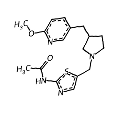 COc1ccc(CC2CCN(Cc3cnc(NC(C)=O)s3)C2)cn1